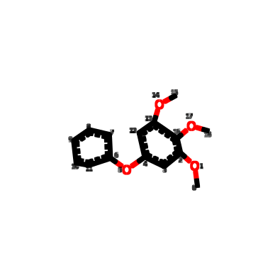 COc1cc(Oc2cc[c]cc2)cc(OC)c1OC